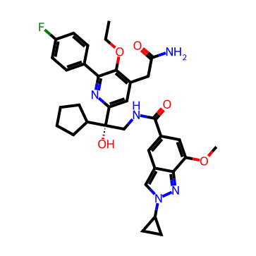 CCOc1c(CC(N)=O)cc([C@@](O)(CNC(=O)c2cc(OC)c3nn(C4CC4)cc3c2)C2CCCC2)nc1-c1ccc(F)cc1